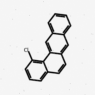 Clc1cccc2ccc3cc4ccccc4cc3c12